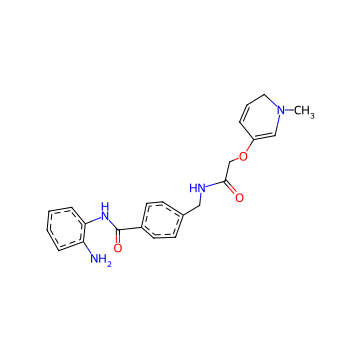 CN1C=C(OCC(=O)NCc2ccc(C(=O)Nc3ccccc3N)cc2)C=CC1